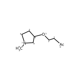 CC(=O)CCOC1CCN(C)C1